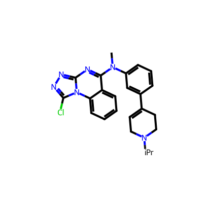 CC(C)N1CC=C(c2cccc(N(C)c3nc4nnc(Cl)n4c4ccccc34)c2)CC1